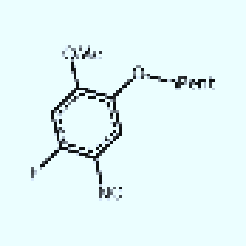 CCCCCOc1cc(N=O)c(F)cc1OC